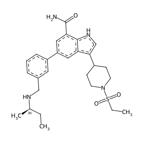 CC[C@@H](C)NCc1cccc(-c2cc(C(N)=O)c3[nH]cc(C4CCN(S(=O)(=O)CC)CC4)c3c2)c1